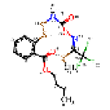 CCCCOC(=O)c1ccccc1SSN(C)C(=O)ON=C(SC)C(F)(F)F